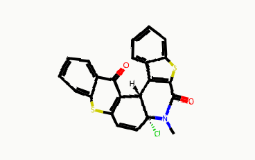 CN1C(=O)c2sc3ccccc3c2[C@H]2c3c(sc4ccccc4c3=O)C=C[C@@]21Cl